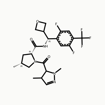 CC1C=NN(C)C1C(=O)N1C[C@H](C)C[C@@H]1C(=O)N[C@@H](c1cc(F)c(C(F)(F)F)cc1F)C1COC1